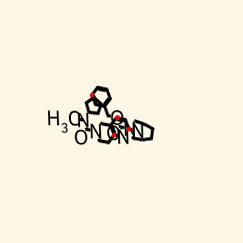 CN(C(=O)N1CCc2nc(N3C4CCC3CN(C(=O)OCc3ccccc3)C4)ccc2C1)C1CCCC1